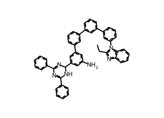 CCc1nc2ccccc2n1-c1cccc(-c2cccc(-c3cccc(-c4cc(N)cc(C5N=C(c6ccccc6)N=C(c6ccccc6)N5)c4)c3)c2)c1